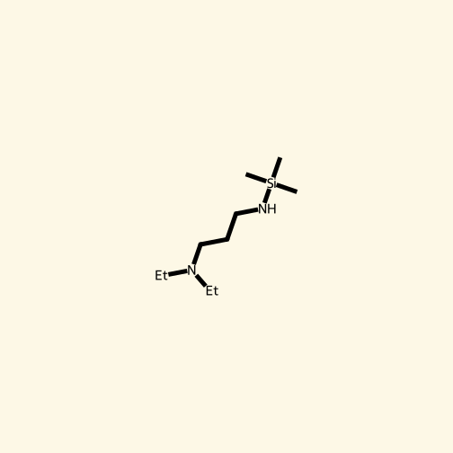 CCN(CC)CCCN[Si](C)(C)C